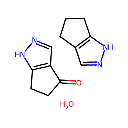 O.O=C1CCc2[nH]ncc21.c1n[nH]c2c1CCC2